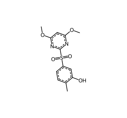 COc1cc(OC)nc(S(=O)(=O)c2ccc(C)c(O)c2)n1